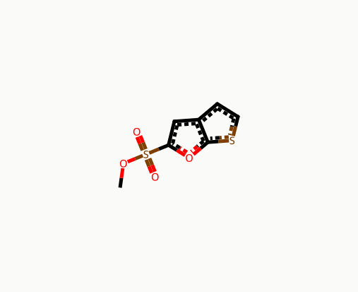 COS(=O)(=O)c1cc2ccsc2o1